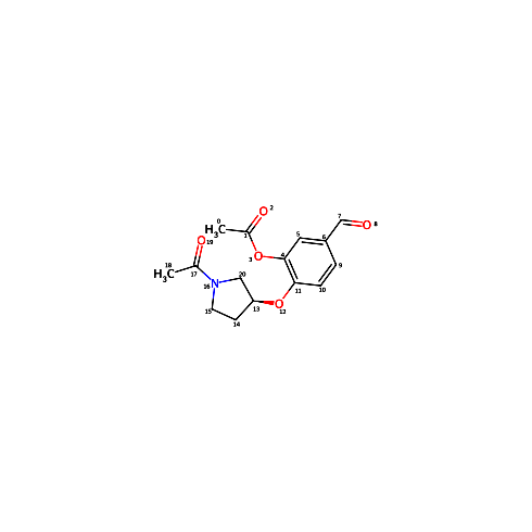 CC(=O)Oc1cc(C=O)ccc1O[C@H]1CCN(C(C)=O)C1